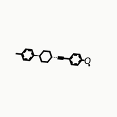 COc1ccc(C#C[C@H]2CC[C@H](c3ccc(C)cc3)CC2)cc1